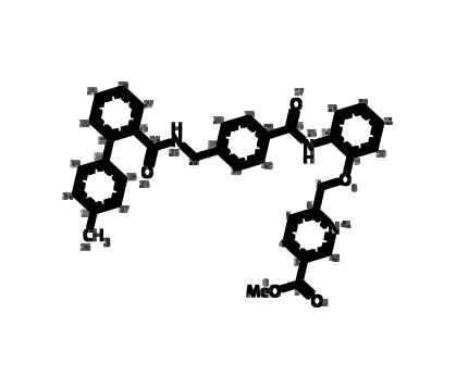 COC(=O)c1ccc(COc2ccccc2NC(=O)c2ccc(CNC(=O)c3ccccc3-c3ccc(C)cc3)cc2)nc1